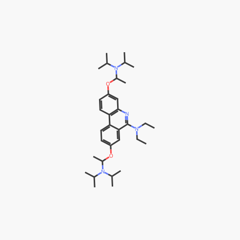 CCN(CC)c1nc2cc(OC(C)N(C(C)C)C(C)C)ccc2c2ccc(OC(C)N(C(C)C)C(C)C)cc12